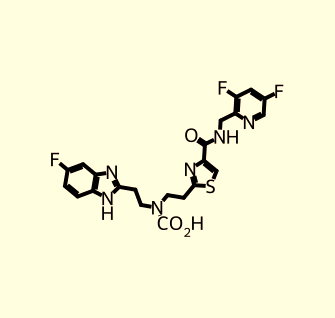 O=C(NCc1ncc(F)cc1F)c1csc(CCN(CCc2nc3cc(F)ccc3[nH]2)C(=O)O)n1